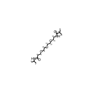 CC(C)NC(=O)CCOCCOCCOCCNC(=O)C(C)C